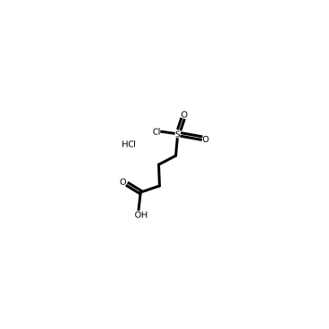 Cl.O=C(O)CCCS(=O)(=O)Cl